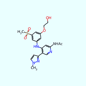 CC(=O)Nc1cc(Nc2cc(OCCO)cc(S(C)(=O)=O)c2)c(-c2ccn(C)n2)cn1